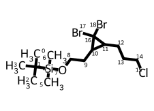 CC(C)(C)[Si](C)(C)OCCC1C(CCCCl)C1(Br)Br